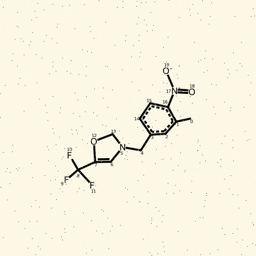 Cc1cc(CN2C=C(C(F)(F)F)OC2)ccc1[N+](=O)[O-]